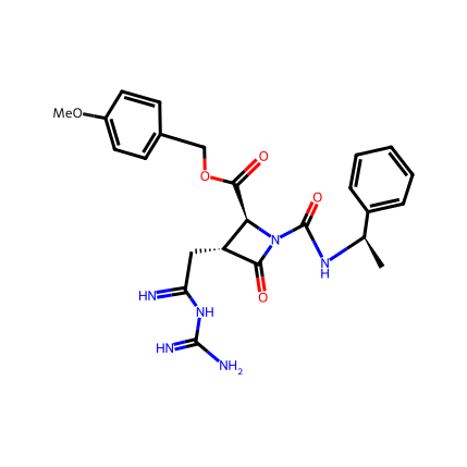 COc1ccc(COC(=O)[C@@H]2[C@@H](CC(=N)NC(=N)N)C(=O)N2C(=O)N[C@H](C)c2ccccc2)cc1